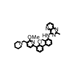 COc1nc(-c2cccc(-c3cccc(Nc4nc(C)nc5cccnc45)c3C)c2Cl)ccc1CN1CCCCC1